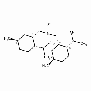 CC(C)[C@@H]1CC[C@@H](C)C[C@@H]1C[B+]C[C@H]1C[C@H](C)CC[C@H]1C(C)C.[Br-]